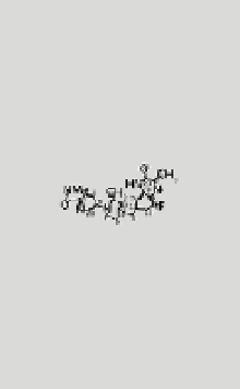 CNC(=O)c1ccc(N2CCN(Cc3cc(F)c4nc(C)c(=O)[nH]c4c3)C[C@H]2C)cn1